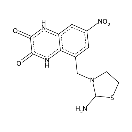 NC1SCCN1Cc1cc([N+](=O)[O-])cc2[nH]c(=O)c(=O)[nH]c12